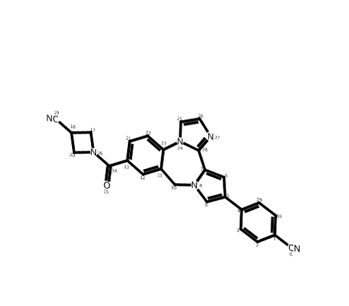 N#Cc1ccc(-c2cc3n(c2)Cc2cc(C(=O)N4CC(C#N)C4)ccc2-n2ccnc2-3)cc1